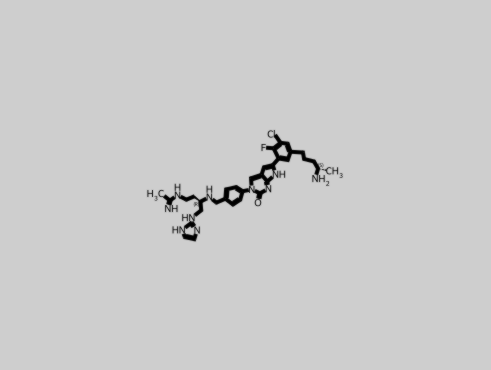 CC(=N)NCC[C@H](CNc1ncc[nH]1)NCc1ccc(-n2cc3cc(-c4cc(CCC[C@H](C)N)cc(Cl)c4F)[nH]c3nc2=O)cc1